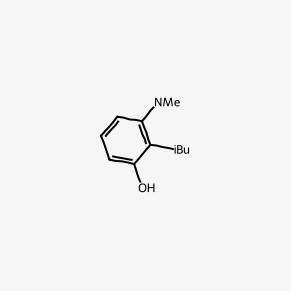 CCC(C)c1c(O)cccc1NC